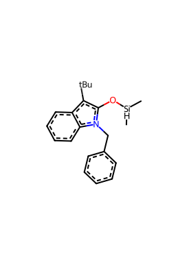 C[SiH](C)Oc1c(C(C)(C)C)c2ccccc2n1Cc1ccccc1